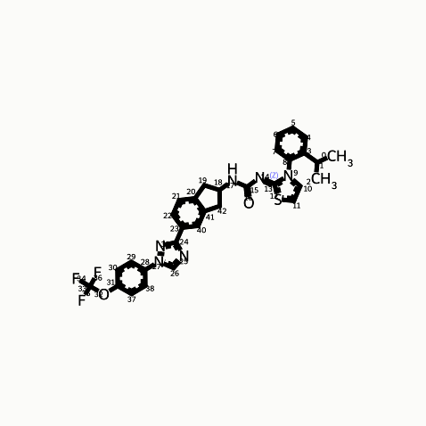 CC(C)c1ccccc1-n1ccs/c1=N\C(=O)NC1Cc2ccc(-c3ncn(-c4ccc(OC(F)(F)F)cc4)n3)cc2C1